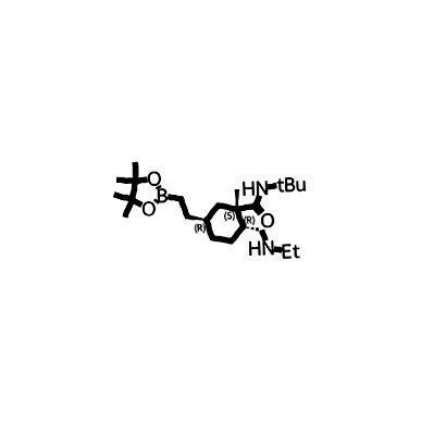 CCNC[C@@H]1CC[C@@H](CCB2OC(C)(C)C(C)(C)O2)C[C@]1(C)C(=O)NC(C)(C)C